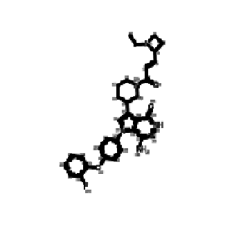 CCN1CCC1/C=C/C(=O)N1CCCC(c2cn(-c3ccc(Oc4ccccc4F)cc3)c3c(N)n[nH]c(=O)c23)C1